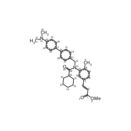 COC(=O)/C=C/c1ccc(C)c(N(Cc2ccc(-c3ccc(N(C)C)cc3)cc2)C(=O)C2CCCCC2)c1